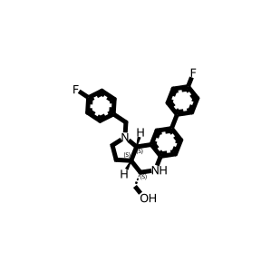 OC[C@H]1Nc2ccc(-c3ccc(F)cc3)cc2[C@@H]2[C@H]1CCN2Cc1ccc(F)cc1